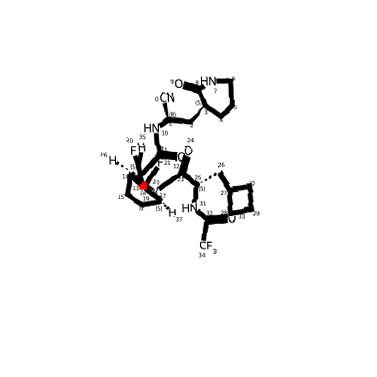 N#C[C@@H](C[C@@H]1CCCNC1=O)NC(=O)[C@H]1[C@@H]2CC[C@@H](CC2(F)F)N1C(=O)[C@H](CC1CCC1)NC(=O)C(F)(F)F